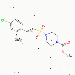 COc1cc(Cl)ccc1/C=C/S(=O)(=O)N1CCN(C(=O)OC(C)(C)C)CC1